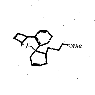 COCCCC1CC=CC[C@]1(C)C1=C(C2CCC2)C=CCC1